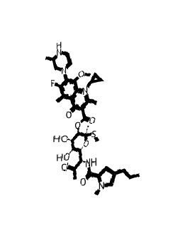 CCCC1CC(C(=O)N[C@H](C(C)Cl)[C@H]2O[C@](C)(SC)[C@H](OC(=O)c3c(C)n(C4CC4)c4c(OC)c(N5CCNC(C)C5)c(F)c(C)c4c3=O)[C@@H](O)[C@H]2O)N(C)C1